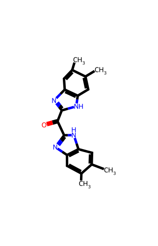 Cc1cc2nc(C(=O)c3nc4cc(C)c(C)cc4[nH]3)[nH]c2cc1C